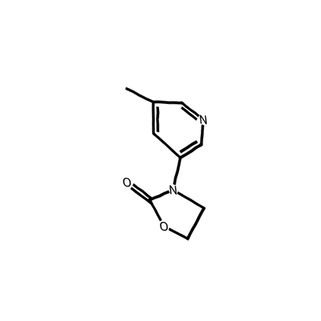 Cc1cncc(N2CCOC2=O)c1